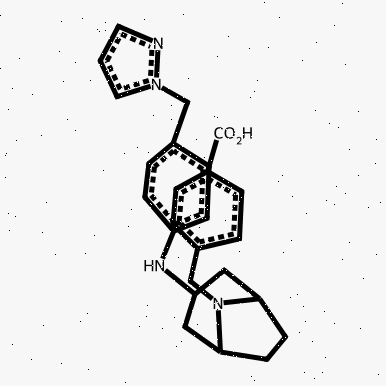 O=C(O)c1ccc(CN2C3CCC2CC(Nc2ccc(Cn4cccn4)cc2)C3)cc1